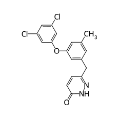 Cc1cc(Cc2ccc(=O)[nH]n2)cc(Oc2cc(Cl)cc(Cl)c2)c1